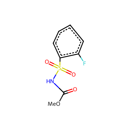 COC(=O)NS(=O)(=O)c1ccccc1F